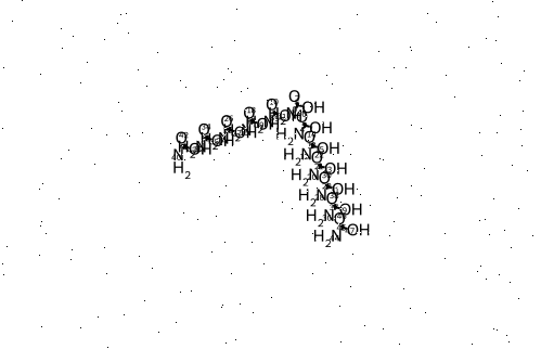 NC(=O)O.NC(=O)O.NC(=O)O.NC(=O)O.NC(=O)O.NC(=O)O.NC(=O)O.NC(=O)O.NC(=O)O.NC(=O)O.NC(=O)O.NC(=O)O